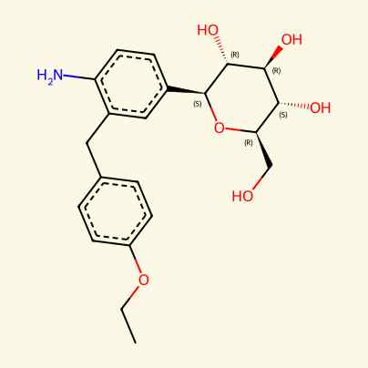 CCOc1ccc(Cc2cc([C@@H]3O[C@H](CO)[C@@H](O)[C@H](O)[C@H]3O)ccc2N)cc1